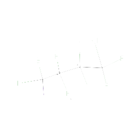 FC(F)(Cl)C(F)(Cl)C(F)(F)C(F)(F)I